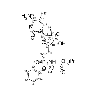 CC(C)OC(=O)[C@@H](C)NP(=O)(OC[C@H]1O[C@@H](n2cc(F)c(N)nc2=O)[C@](C)(Cl)[C@@H]1O)Oc1ccccc1